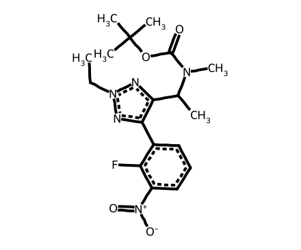 CCn1nc(-c2cccc([N+](=O)[O-])c2F)c(C(C)N(C)C(=O)OC(C)(C)C)n1